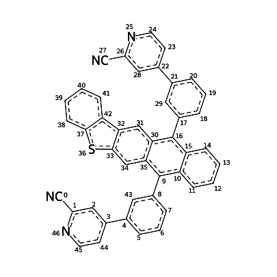 N#Cc1cc(-c2cccc(-c3c4ccccc4c(-c4cccc(-c5ccnc(C#N)c5)c4)c4cc5c(cc34)sc3ccccc35)c2)ccn1